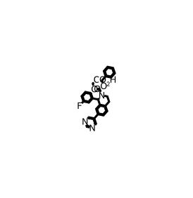 O=C(O)COc1ccc(F)cc1C1c2cc(-c3cncnc3)ccc2CCN1C(=O)OCc1ccccc1